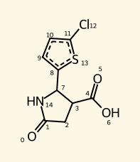 O=C1CC(C(=O)O)C(c2ccc(Cl)s2)N1